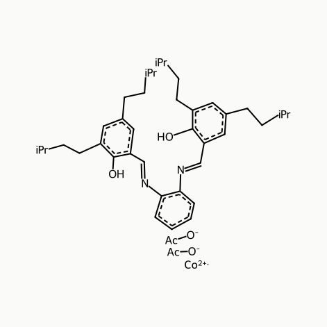 CC(=O)[O-].CC(=O)[O-].CC(C)CCc1cc(C=Nc2ccccc2N=Cc2cc(CCC(C)C)cc(CCC(C)C)c2O)c(O)c(CCC(C)C)c1.[Co+2]